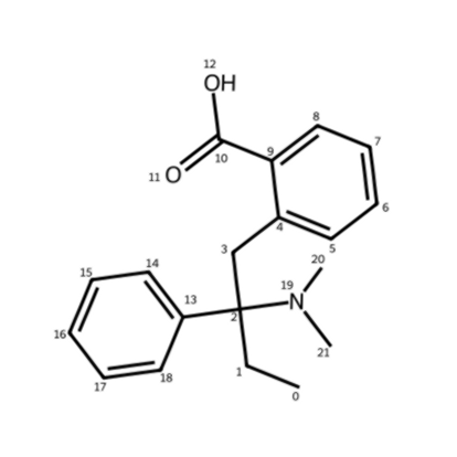 CCC(Cc1ccccc1C(=O)O)(c1ccccc1)N(C)C